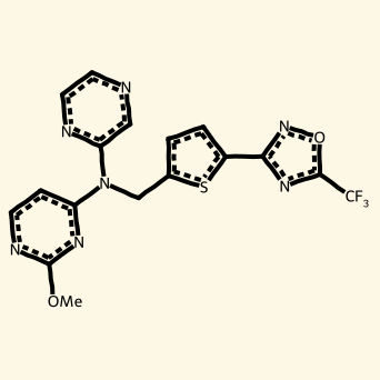 COc1nccc(N(Cc2ccc(-c3noc(C(F)(F)F)n3)s2)c2cnccn2)n1